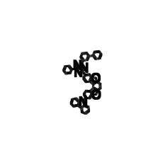 c1ccc(-c2cccc(-c3nc(-c4ccccc4)nc(-c4ccc5c(c4)oc4ccc6oc7cc(-n8c9ccccc9c9ccccc98)ccc7c6c45)n3)c2)cc1